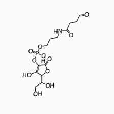 O=CCCC(=O)NCCCOP(=O)(O)OC1=C(O)C(C(O)CO)OC1=O